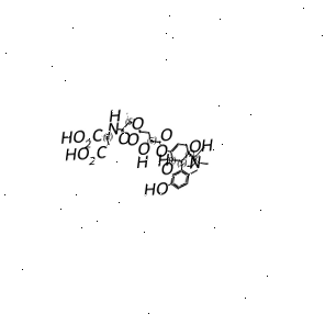 Cc1ccc(O)c2c1[C@]13CCN(C)[C@H](C)[C@]1(O)CC=C(OC(=O)[C@@H](O)CC(=O)O[C@@H](C)C(=O)N[C@H](CC(=O)O)C(=O)O)[C@@H]3O2